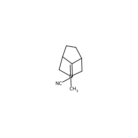 CN1CC2CCC(C1)C2=CC#N